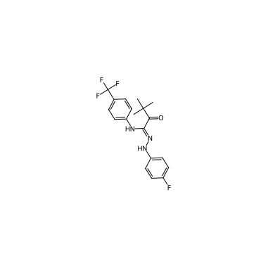 CC(C)(C)C(=O)/C(=N/Nc1ccc(F)cc1)Nc1ccc(C(F)(F)F)cc1